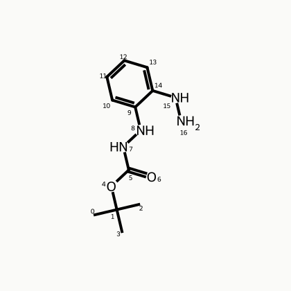 CC(C)(C)OC(=O)NNc1ccccc1NN